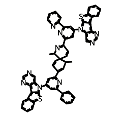 CC1C=C(c2cc(-n3c4cncnc4c4c5ccccc5sc43)cc(-c3ccccc3)n2)C=CC12C=CC(c1cc(-n3c4cncnc4c4c5ccccc5sc43)cc(-c3ccccn3)n1)=NC2C